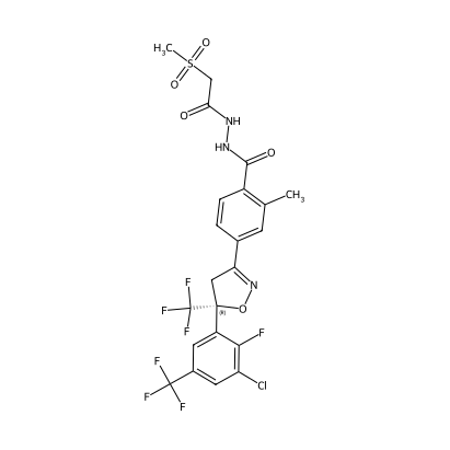 Cc1cc(C2=NO[C@](c3cc(C(F)(F)F)cc(Cl)c3F)(C(F)(F)F)C2)ccc1C(=O)NNC(=O)CS(C)(=O)=O